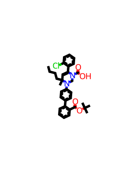 CCCCC1(C)C=C(c2ccccc2Cl)N(C(=O)O)CN1c1ccc(-c2ccccc2C(=O)OC(C)(C)C)cc1